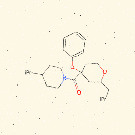 CC(C)CC1CC(Oc2ccccc2)(C(=O)N2CCC(C(C)C)CC2)CCO1